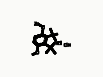 COc1ccc([O][Zr])c(C(C)(C)C)c1C(C)(C)C.Cl.Cl